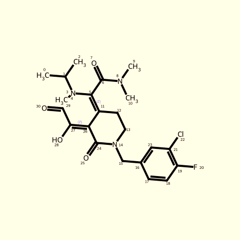 CC(C)N(C)/C(C(=O)N(C)C)=C1/CCN(Cc2ccc(F)c(Cl)c2)C(=O)/C1=C(\O)C=O